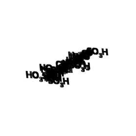 CC(CNc1ccc2c(c1S(=O)(=O)O)Oc1c(Cl)c3c(c(Cl)c1=N2)Oc1c(ccc(NCC(C)Nc2nc(F)nc(Nc4cc(S(=O)(=O)O)ccc4S(=O)(=O)O)n2)c1S(=O)(=O)O)N=3)Nc1nc(F)nc(Nc2ccc(S(=O)(=O)CCOS(=O)(=O)O)cc2)n1